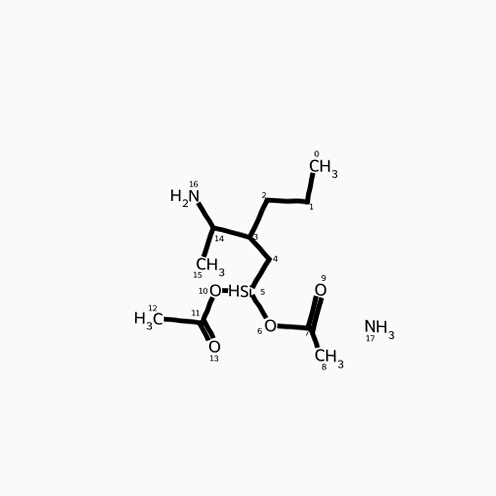 CCCC(C[SiH](OC(C)=O)OC(C)=O)C(C)N.N